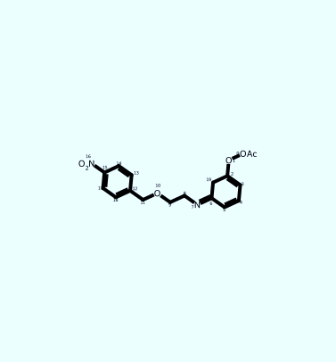 CC(=O)OOC1=CC=CC(=NCCOCc2ccc([N+](=O)[O-])cc2)C1